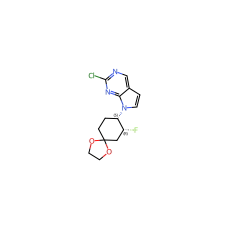 F[C@@H]1CC2(CC[C@@H]1n1ccc3cnc(Cl)nc31)OCCO2